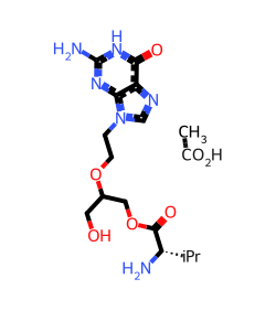 CC(=O)O.CC(C)[C@H](N)C(=O)OCC(CO)OCCn1cnc2c(=O)[nH]c(N)nc21